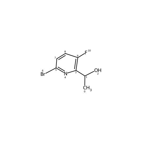 CC(O)c1nc(Br)ccc1F